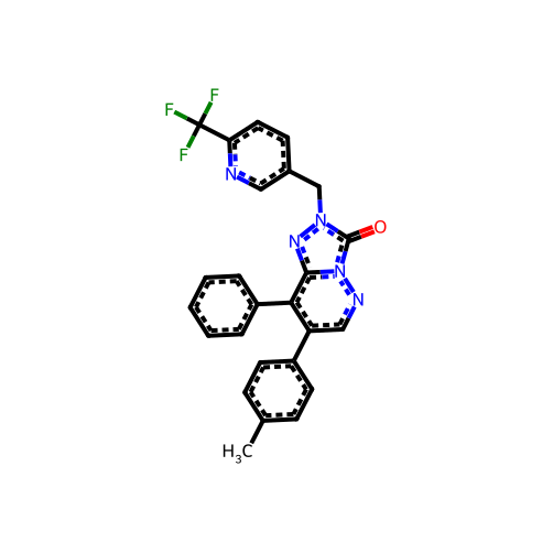 Cc1ccc(-c2cnn3c(=O)n(Cc4ccc(C(F)(F)F)nc4)nc3c2-c2ccccc2)cc1